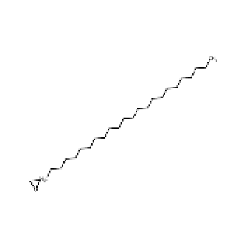 C1CO1.CCCCCCCCCCCCCCCCCCCCCCCC